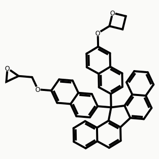 c1ccc2c3c(ccc2c1)-c1ccc2ccccc2c1C3(c1ccc2cc(OCC3CO3)ccc2c1)c1ccc2cc(OC3CCO3)ccc2c1